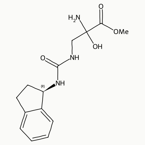 COC(=O)C(N)(O)CNC(=O)N[C@@H]1CCc2ccccc21